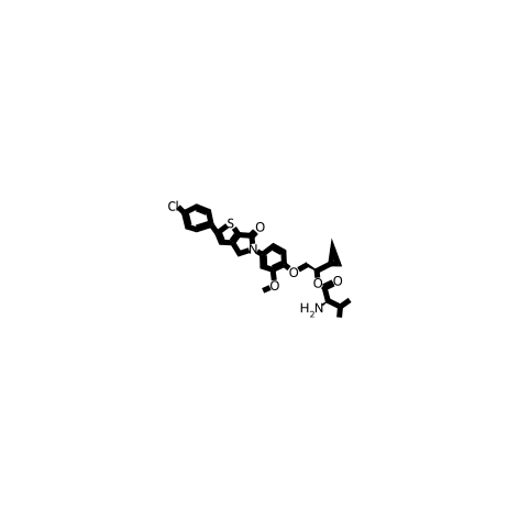 COc1cc(N2Cc3cc(-c4ccc(Cl)cc4)sc3C2=O)ccc1OC[C@H](OC(=O)[C@@H](N)C(C)C)C1CC1